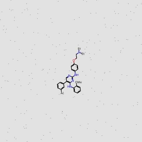 CCN(CC)CCOc1ccc(Nc2ncc(-c3cccc(C(C)=O)c3)c(Nc3ccccc3OC)n2)cc1